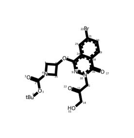 CC(C)(C)OC(=O)N1CC(Oc2nn(CC(=O)CO)c(=O)c3ccc(Br)cc23)C1